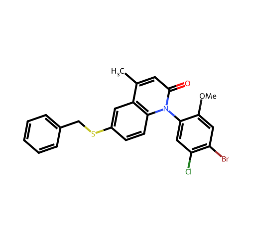 COc1cc(Br)c(Cl)cc1-n1c(=O)cc(C)c2cc(SCc3ccccc3)ccc21